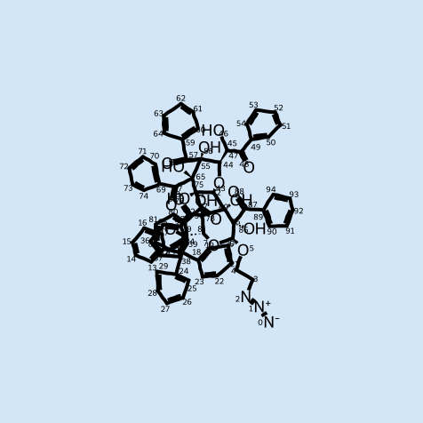 [N-]=[N+]=NCCO[C@H]1O[C@H](C(O)C(c2ccccc2)(c2ccccc2)c2ccccc2)[C@](O)(C(=O)c2ccccc2)[C@@](O)([C@@H]2O[C@H](C(O)C(=O)c3ccccc3)[C@](O)(C(=O)c3ccccc3)[C@@](O)(C(=O)c3ccccc3)[C@@]2(O)C(=O)c2ccccc2)[C@@]1(O)C(=O)c1ccccc1